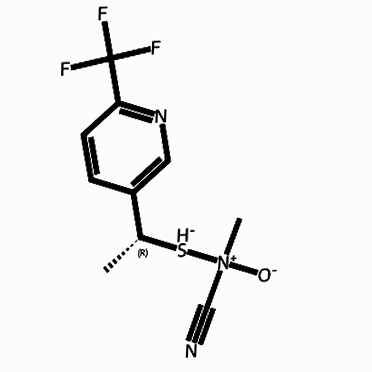 C[C@@H]([SH-][N+](C)([O-])C#N)c1ccc(C(F)(F)F)nc1